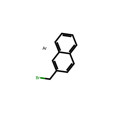 BrCc1ccc2ccccc2c1.[Ar]